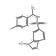 Cn1cnc2ccc(S(=O)(=O)NC(c3ccc(F)cc3)C(F)(F)F)cc21